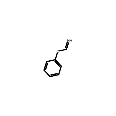 N=COc1ccccc1